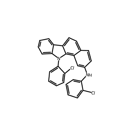 Clc1ccccc1Nc1ccc2ccc3c4ccccc4n(-c4ccccc4Cl)c3c2c1